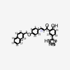 O=C(/C=C/c1ccc(OCc2ccc3ccccc3c2)cc1)c1cc(-c2nnn[nH]2)ccc1O